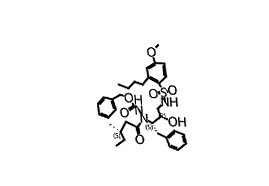 CCCCc1cc(OC)ccc1S(=O)(=O)NC[C@@H](O)[C@H](Cc1ccccc1)N(NC(=O)OCc1ccccc1)C(=O)C[C@@H](C)CC